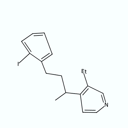 CCc1cnccc1C(C)CCc1ccccc1I